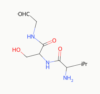 CC(C)C(N)C(=O)NC(CO)C(=O)NC[C]=O